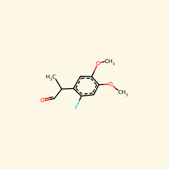 COc1cc(F)c(C(C)C=O)cc1OC